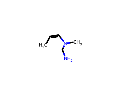 C/C=C\N(C)CN